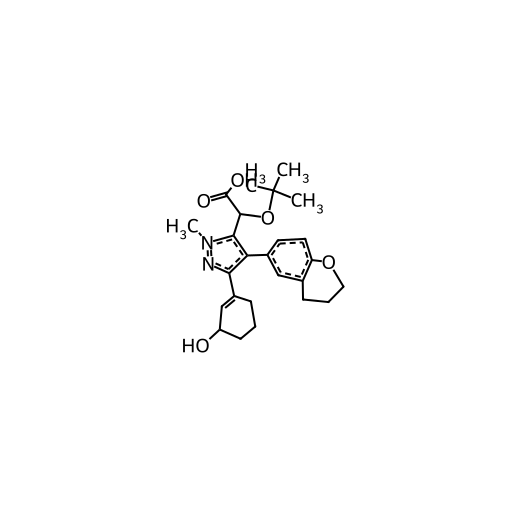 Cn1nc(C2=CC(O)CCC2)c(-c2ccc3c(c2)CCCO3)c1C(OC(C)(C)C)C(=O)O